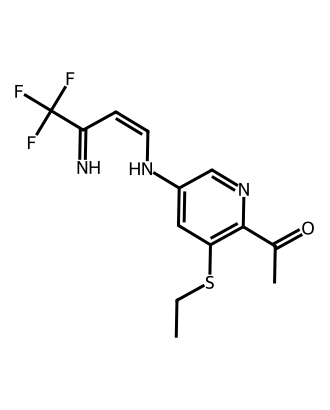 CCSc1cc(N/C=C\C(=N)C(F)(F)F)cnc1C(C)=O